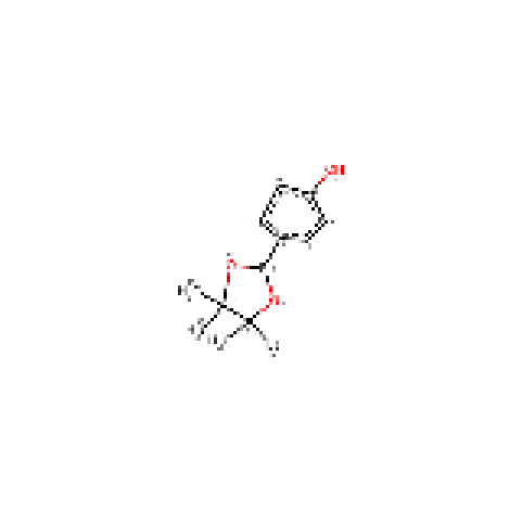 CCC1(C)OB(c2ccc(O)cc2)OC1(C)C